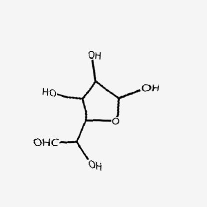 O=CC(O)C1OC(O)C(O)C1O